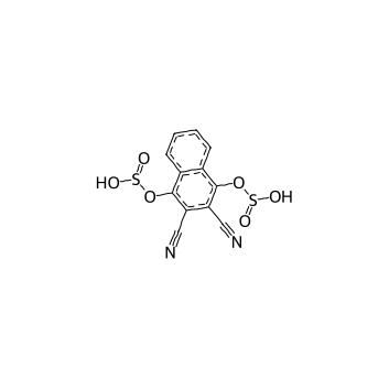 N#Cc1c(C#N)c(OS(=O)O)c2ccccc2c1OS(=O)O